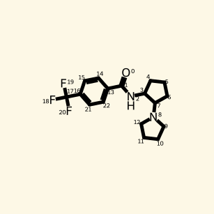 O=C(NC1CCCC1N1CCCC1)c1ccc(C(F)(F)F)cc1